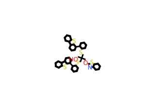 OCC(COc1nc2ccccc2s1)(CSc1ccccc1-c1cccc2c1sc1ccccc12)CSc1ccccc1-c1cccc2c1sc1ccccc12